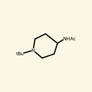 CC(=O)NC1CCN(C(C)(C)C)CC1